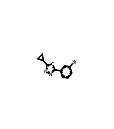 Brc1cccc(-c2nnc(C3CC3)o2)c1